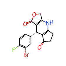 O=C1CCC2=C1[C@H](c1ccc(F)c(Br)c1)C1=C(COC1=O)N2